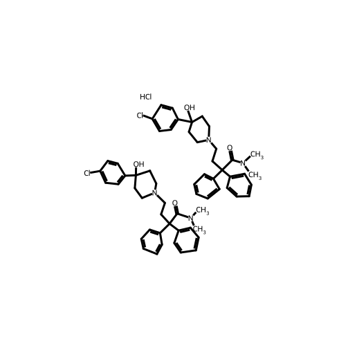 CN(C)C(=O)C(CCN1CCC(O)(c2ccc(Cl)cc2)CC1)(c1ccccc1)c1ccccc1.CN(C)C(=O)C(CCN1CCC(O)(c2ccc(Cl)cc2)CC1)(c1ccccc1)c1ccccc1.Cl